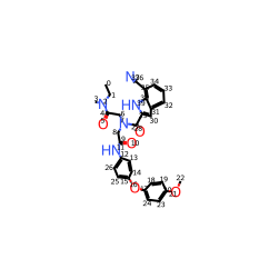 CCN(C)C(=O)CN(CC(=O)Nc1ccc(Oc2ccc(OC)cc2)cc1)C(=O)c1cc2cccc(C#N)c2[nH]1